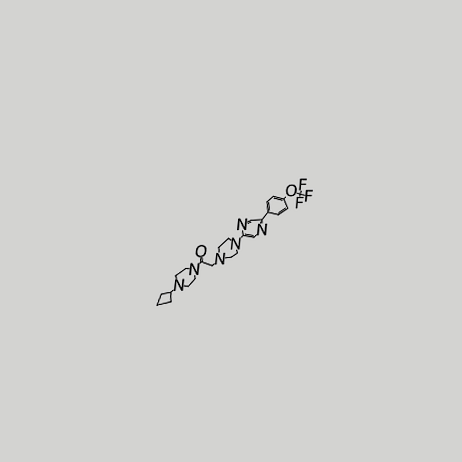 O=C(CN1CCN(c2cnc(-c3ccc(OC(F)(F)F)cc3)cn2)CC1)N1CCN(C2CCC2)CC1